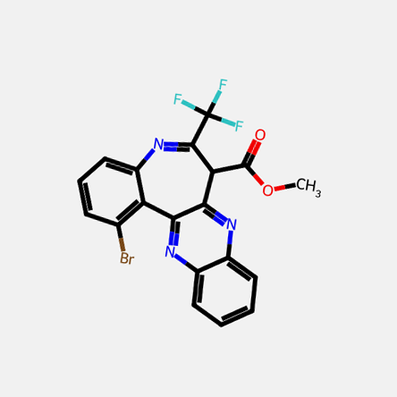 COC(=O)C1C(C(F)(F)F)=Nc2cccc(Br)c2-c2nc3ccccc3nc21